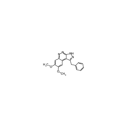 COc1cc2nnc3[nH]nc(Cc4ccccc4)c3c2cc1OC